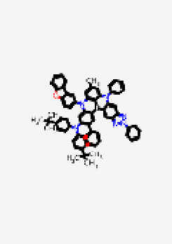 Cc1cc2c3c(c1)N(c1ccccc1)c1cc4nn(-c5ccccc5)nc4cc1B3c1cc(-c3ccccc3)c(N(c3ccc(C(C)(C)C)cc3)c3ccc(C(C)(C)C)cc3)cc1N2c1ccc2oc3ccccc3c2c1